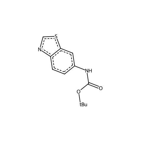 CC(C)(C)OC(=O)Nc1ccc2ncsc2c1